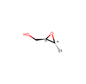 CC[C@H]1O[C@@H]1CO